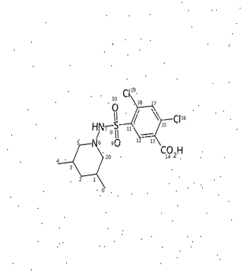 CC1CC(C)CN(NS(=O)(=O)c2cc(C(=O)O)c(Cl)cc2Cl)C1